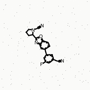 N#Cc1cc(F)cc(-c2ccc3oc(C4CCCN4C#N)nc3c2)c1